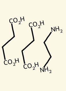 NCCN.O=C(O)CCC(=O)O.O=C(O)CCC(=O)O